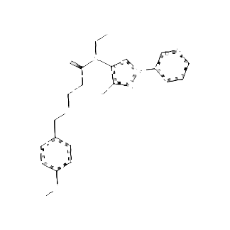 CCN(C(=O)CCSCc1ccc(OF)cc1)c1cn(-c2cccnc2)nc1Cl